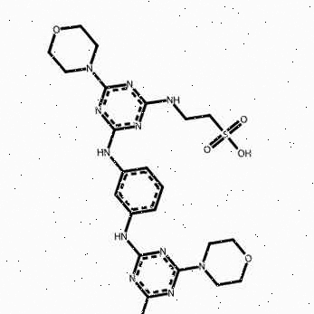 Cc1nc(Nc2cccc(Nc3nc(NCCS(=O)(=O)O)nc(N4CCOCC4)n3)c2)nc(N2CCOCC2)n1